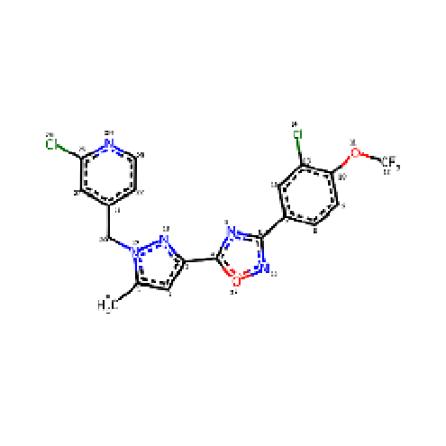 Cc1cc(-c2nc(-c3ccc(OC(F)(F)F)c(Cl)c3)no2)nn1Cc1ccnc(Cl)c1